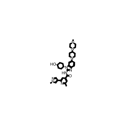 Cc1cc(C(=O)Nc2nc3ccc(N4CCC(N5CCN(C)CC5)CC4)cc3n2[C@H]2CC[C@@H](O)CC2)cc(-c2cnn(C)c2)n1